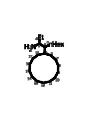 CCCCCCC(C(N)CC)C1CCCCCCCCCCCCC1